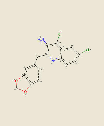 Nc1c(Cc2ccc3c(c2)OCO3)nc2ccc(Cl)cc2c1Cl